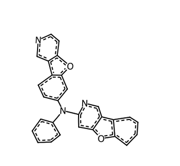 c1ccc(N(c2ccc3c(c2)oc2ccncc23)c2cc3oc4ccccc4c3cn2)cc1